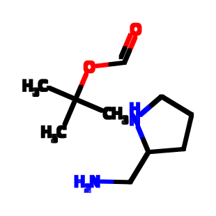 CC(C)(C)OC=O.NCC1CCCN1